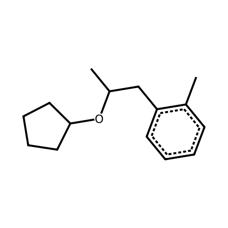 Cc1ccccc1CC(C)OC1CCCC1